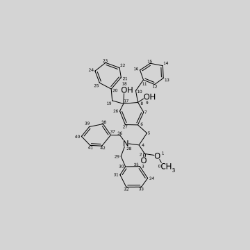 COC(=O)C(CC1=CC(O)(Cc2ccccc2)C(O)(Cc2ccccc2)C=C1)N(Cc1ccccc1)Cc1ccccc1